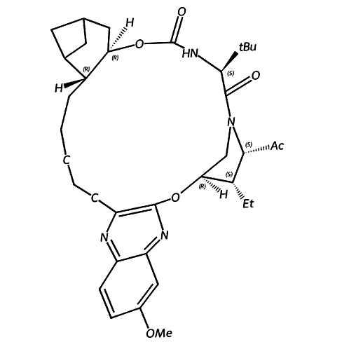 CC[C@@H]1[C@@H]2CN(C(=O)[C@H](C(C)(C)C)NC(=O)O[C@@H]3CC4CC(C4)[C@H]3CCCCCc3nc4ccc(OC)cc4nc3O2)[C@@H]1C(C)=O